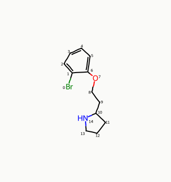 Brc1ccccc1OCCC1CCCN1